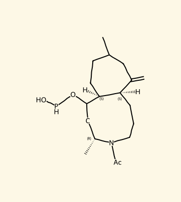 C=C1CC(C)CC[C@@H]2C(OPO)C[C@@H](C)N(C(C)=O)CCC[C@H]12